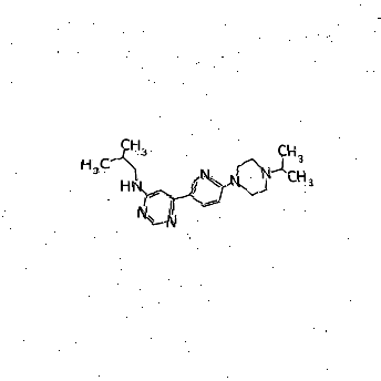 CC(C)CNc1cc(-c2ccc(N3CCN(C(C)C)CC3)nc2)ncn1